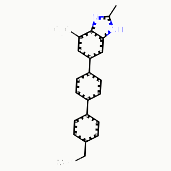 CSCc1ccc(-c2ccc(-c3cc(C(=O)O)c4nc(C)[nH]c4c3)cc2)cc1